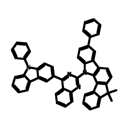 CC1(C)c2ccccc2-c2c1ccc1c3cc(-c4ccccc4)ccc3n(-c3nc(-c4ccc5c(c4)c4ccccc4n5-c4ccccc4)c4ccccc4n3)c21